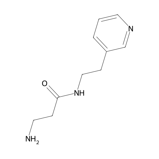 NCCC(=O)NCCc1cccnc1